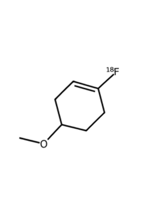 COC1CC=C([18F])CC1